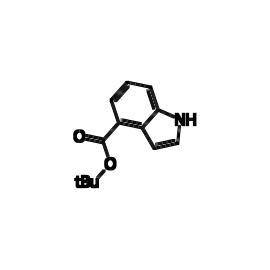 CC(C)(C)OC(=O)c1cccc2[nH]ccc12